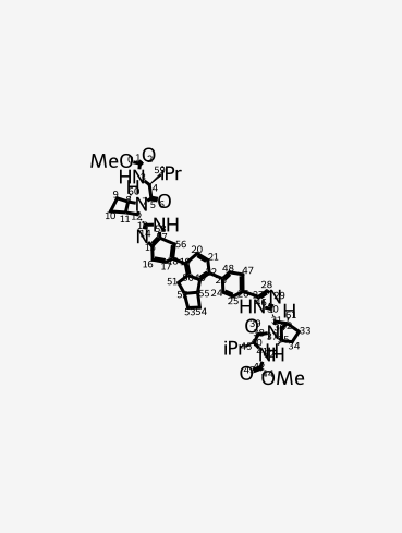 COC(=O)N[C@H](C(=O)N1[C@@H]2CCC2[C@H]1c1nc2ccc(-c3ccc(-c4ccc(-c5cnc([C@@H]6[C@H]7CC[C@H](C7)N6C(=O)[C@@H](NC(=O)OC)C(C)C)[nH]5)cc4)c4c3CC3CCC43)cc2[nH]1)C(C)C